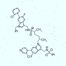 CC(C)Cn1cc(CNS(=O)(=O)C(C)CCC(C)Cn2cc(CNS(=O)(=O)C(C)C)c3cc(F)c(-c4ccncc4Cl)cc32)c2cc(F)c(-c3ccccc3Cl)cc21